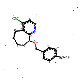 COc1ccc(COC2CCCCc3c(Cl)ccnc32)cc1